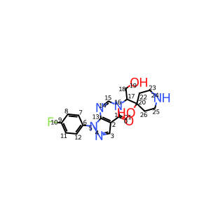 O=c1c2cnn(-c3ccc(F)cc3)c2ncn1C(CO)C1(O)CCNCC1